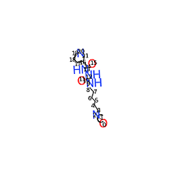 O=C=NCCCCCCNC(=O)NNC(=O)c1cccnc1